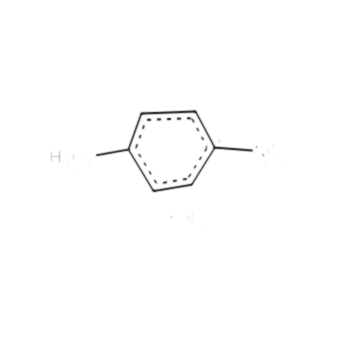 O=C(O)c1ccc([N+](=O)[O-])cc1.[CaH2]